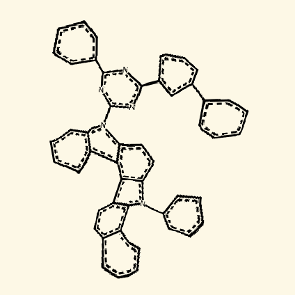 c1ccc(-c2cccc(-c3nc(-c4ccccc4)nc(-n4c5ccccc5c5c6c7ccc8ccccc8c7n(-c7ccccc7)c6ccc54)n3)c2)cc1